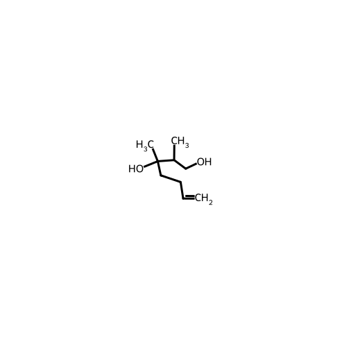 C=CCCC(C)(O)C(C)CO